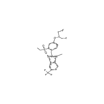 CCS(=O)(=O)c1cc(OC(CF)CF)ccc1-c1nc2cc(C(F)(F)F)ncc2n1C